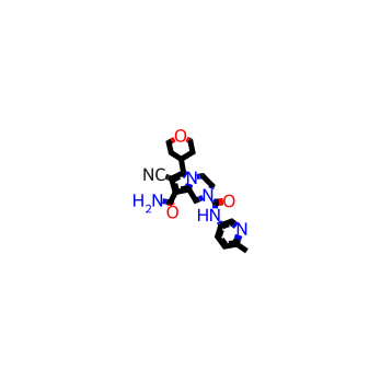 Cc1ccc(NC(=O)N2CCn3c(c(C(N)=O)c(C#N)c3C3CCOCC3)C2)cn1